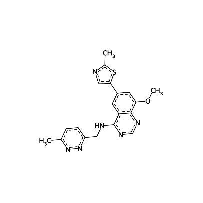 COc1cc(-c2cnc(C)s2)cc2c(NCc3ccc(C)nn3)ncnc12